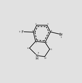 Fc1ccc(Br)c2c1CNCC2